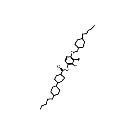 CCCCCC1CCC(COc2ccc(OC(=O)C3CCC(C4CCC(CCCCC)CC4)CC3)c(F)c2F)CC1